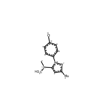 CN(C(=O)O)c1cc(C(C)(C)C)nn1-c1ccc(Cl)cc1